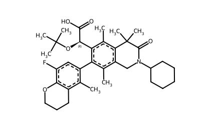 Cc1c(-c2c(C)c3c(c(C)c2[C@@H](OC(C)(C)C)C(=O)O)C(C)(C)C(=O)N(C2CCCCC2)C3)cc(F)c2c1CCCO2